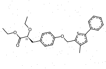 CCOC(=O)[C@H](Cc1ccc(OCc2sc(-c3ccccc3)cc2C)cc1)OCC